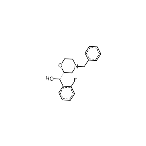 OC(c1ccccc1F)[C@H]1CN(Cc2ccccc2)CCO1